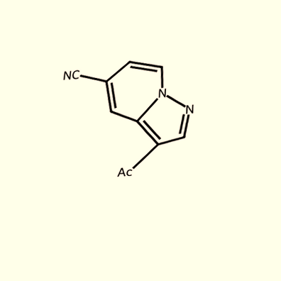 CC(=O)c1cnn2ccc(C#N)cc12